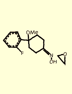 C1CO1.COC1(c2ccccc2F)CCC(=NO)CC1